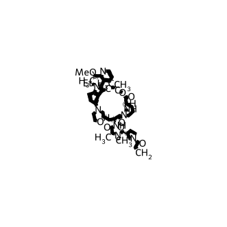 C=CC(=O)N1CC[C@H](C(=O)N(C)C(C)C(=O)N[C@H]2C[C@H]3CN(CCO3)c3ccc4c(c3)c(c(-c3cccnc3[C@H](C)OC)n4CC)CC(C)(C)COC(=O)[C@@H]3CCCN(N3)C2=O)C1